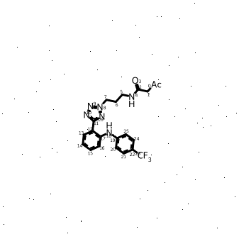 CC(=O)CC(=O)NCCCn1nnc(-c2ccccc2Nc2ccc(C(F)(F)F)cc2)n1